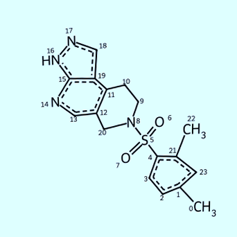 Cc1ccc(S(=O)(=O)N2CCc3c(cnc4[nH]ncc34)C2)c(C)c1